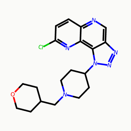 Clc1ccc2ncc3nnn(C4CCN(CC5CCOCC5)CC4)c3c2n1